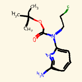 CC(C)(C)OC(=O)N(CCF)c1cccc(N)n1